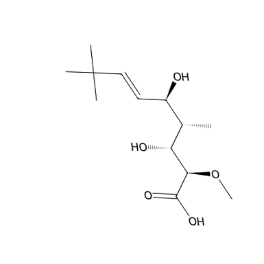 CO[C@@H](C(=O)O)[C@H](O)[C@@H](C)[C@H](O)/C=C/C(C)(C)C